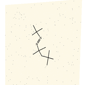 CC(C)(C)CC(C)(C)N=NC(C)(C)C